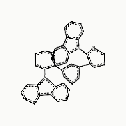 N#Cc1cccc(-n2c3ccccc3c3ccccc32)c1-c1cccc(-c2cccnc2-n2c3ccccc3c3ccccc32)c1